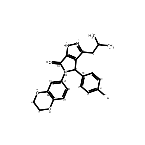 CC(C)Cc1n[nH]c2c1C(c1ccc(F)cc1)N(c1ccc3c(c1)OCCO3)C2=O